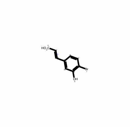 O=C(O)/C=C/c1ccc(Br)c(O)c1